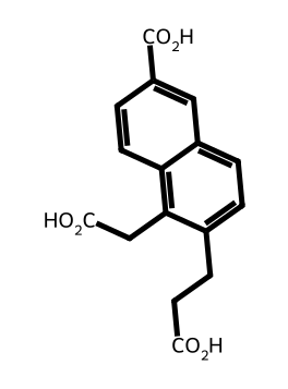 O=C(O)CCc1ccc2cc(C(=O)O)ccc2c1CC(=O)O